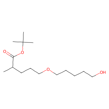 CC(CCCOCCCCCO)C(=O)OC(C)(C)C